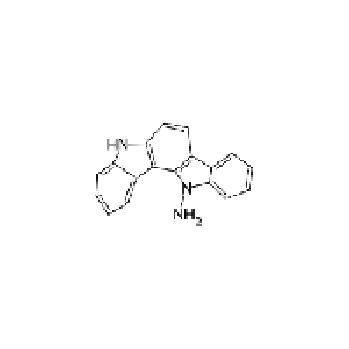 Nn1c2ccccc2c2ccc3[nH]c4ccccc4c3c21